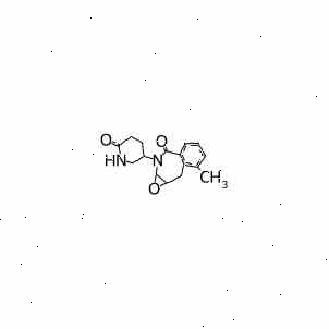 Cc1cccc2c1CC1OC1N(C1CCC(=O)NC1)C2=O